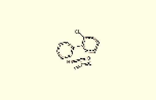 Clc1ccccc1-c1ccccc1.N=C=O.N=C=O